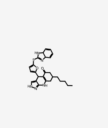 CCCCCC1CC(=O)C2=C(C1)Nc1n[nH]cc1C2c1ccc(SC2=NC3C=CC=CC3N2)o1